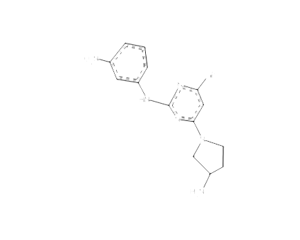 CCCc1cc(N2CCC(N)C2)nc(Nc2cccc([N+](=O)[O-])c2)n1